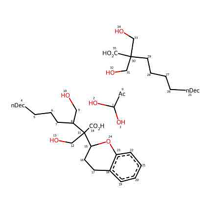 CC(=O)C(O)O.CCCCCCCCCCCCCC(CO)C(CO)(C(=O)O)C1CCc2ccccc2O1.CCCCCCCCCCCCCCC(CO)(CO)C(=O)O